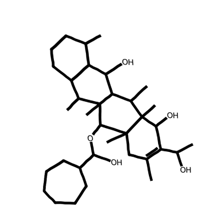 CC1=C(C(C)O)C(O)C2(C)C(C)C3C(O)C4C(C)CCCC4C(C)C3(C)C(OC(O)C3CCCCCC3)C2(C)C1